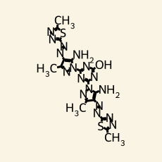 Cc1nnc(N=Nc2c(C)nn(-c3nc(O)nc(-n4nc(C)c(N=Nc5nnc(C)s5)c4N)n3)c2N)s1